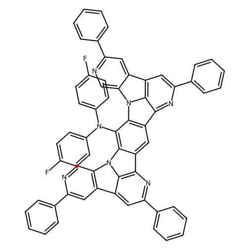 Fc1ccc(N(c2ccc(F)cc2)c2c3c(cc4c5nc(-c6ccccc6)cc6c7cc(-c8ccccc8)ncc7n(c24)c65)c2nc(-c4ccccc4)cc4c5cc(-c6ccccc6)ncc5n3c42)cc1